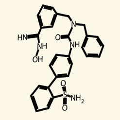 N=C(NO)c1cccc(CN(Cc2ccccc2)C(=O)Nc2ccc(-c3ccccc3S(N)(=O)=O)cc2)c1